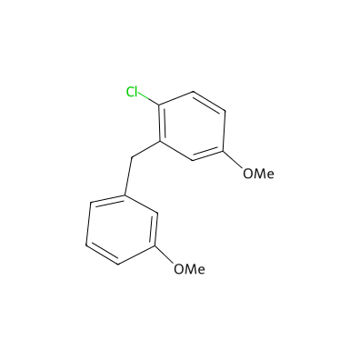 COc1cccc(Cc2cc(OC)ccc2Cl)c1